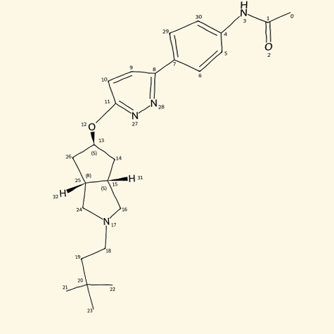 CC(=O)Nc1ccc(-c2ccc(O[C@H]3C[C@@H]4CN(CCC(C)(C)C)C[C@@H]4C3)nn2)cc1